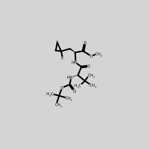 COC(=O)[C@H](CC1(F)CC1)NC(=O)[C@@H](NC(=O)OC(C)(C)C)C(C)(C)C